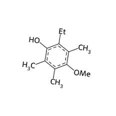 CCc1c(C)c(OC)c(C)c(C)c1O